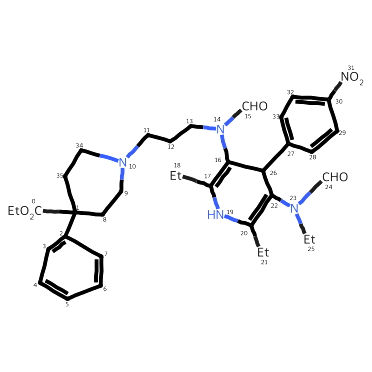 CCOC(=O)C1(c2ccccc2)CCN(CCCN(C=O)C2=C(CC)NC(CC)=C(N(C=O)CC)C2c2ccc([N+](=O)[O-])cc2)CC1